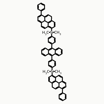 C[Si](C)(c1ccc(-c2c3ccccc3c(-c3ccc([Si](C)(C)c4ccc5c6c4C=CC4=CC=C(c7ccccc7)C(=CC5)C46)cc3)c3ccccc23)cc1)c1ccc2c3c1C=CC1=CC=C(c4ccccc4)C(=CC2)C13